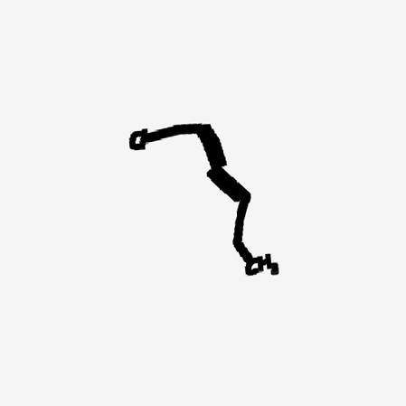 CCC=C=CCl